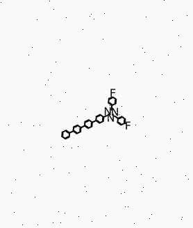 Fc1ccc(-c2nc(-c3ccc(F)cc3)nc(-c3ccc(-c4ccc(-c5ccc(-c6ccccc6)cc5)cc4)cc3)n2)cc1